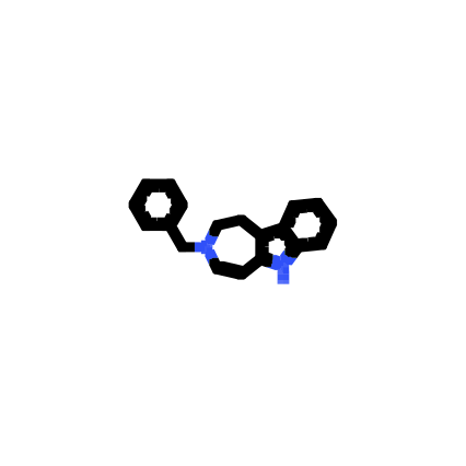 C1=CN(Cc2ccccc2)CCc2c1[nH]c1ccccc21